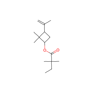 C=C(C)C1CC(OC(=O)C(C)(C)CC)C1(C)C